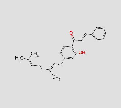 CC(C)=CCC/C(C)=C/Cc1ccc(C(=O)/C=C/c2ccccc2)c(O)c1